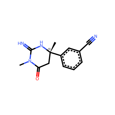 CN1C(=N)N[C@](C)(c2cccc(C#N)c2)CC1=O